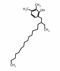 CCCCCCCCCCCCCCC(CC)Cc1ccc(C)c(C)c1O